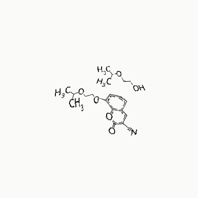 CC(C)OCCO.CC(C)OCCOc1cccc2cc(C#N)c(=O)oc12